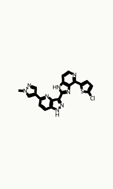 Cn1cc(-c2ccc3[nH]nc(-c4nc5c(-c6ccc(Cl)s6)nccc5[nH]4)c3n2)cn1